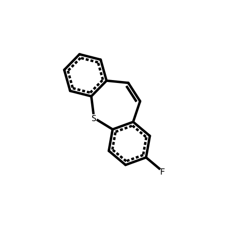 Fc1ccc2c(c1)C=Cc1ccccc1S2